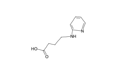 O=C(O)CCCNc1ccccn1